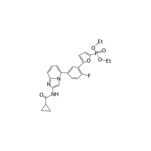 CCOP(=O)(OCC)c1ccc(-c2cc(-c3cccc4nc(NC(=O)C5CC5)cn34)ccc2F)o1